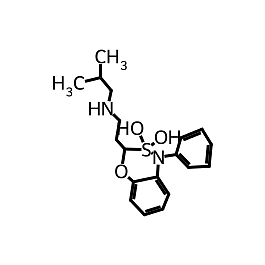 CC(C)CNCCC1Oc2ccccc2N(c2ccccc2)S1(O)O